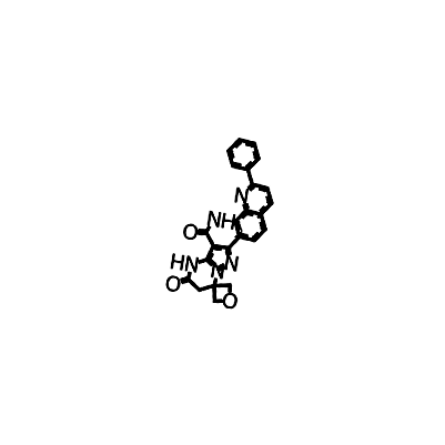 NC(=O)c1c(-c2ccc3ccc(-c4ccccc4)nc3c2)nn2c1NC(=O)CC21COC1